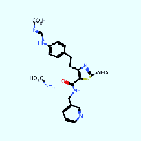 CC(=O)Nc1nc(CCc2ccc(NC=NC(=O)O)cc2)c(C(=O)NCc2cccnc2)s1.NC(=O)O